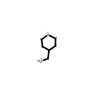 CC[C]1CCOCC1